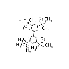 CCC(C)(C)c1cc(-c2[c]c(C(C)(C)C)cc(C(C)(C)CC)c2)[c]c(C(C)(C)C)c1